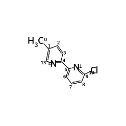 Cc1ccc(-c2cccc(Cl)n2)nc1